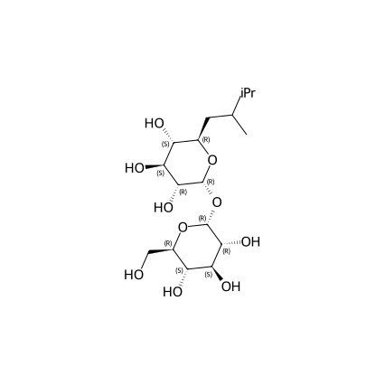 CC(C)C(C)C[C@H]1O[C@H](O[C@H]2O[C@H](CO)[C@@H](O)[C@H](O)[C@H]2O)[C@H](O)[C@@H](O)[C@@H]1O